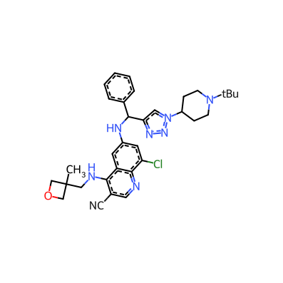 CC1(CNc2c(C#N)cnc3c(Cl)cc(NC(c4ccccc4)c4cn(C5CCN(C(C)(C)C)CC5)nn4)cc23)COC1